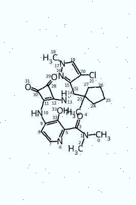 CN(C)C(=O)c1nccc(Nc2c(N[C@H](c3nn(C)cc3Cl)C3(C)CCCC3)c(=O)c2=O)c1O